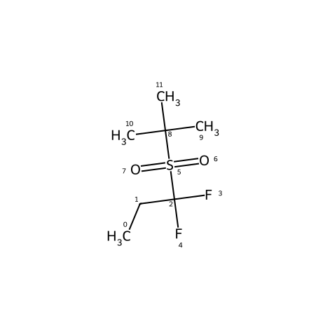 CCC(F)(F)S(=O)(=O)C(C)(C)C